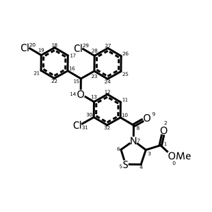 COC(=O)C1CSCN1C(=O)c1ccc(OC(c2ccc(Cl)cc2)c2ccccc2Cl)c(Cl)c1